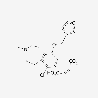 CN1CCc2c(Cl)ccc(OCc3ccoc3)c2CC1.O=C(O)/C=C\C(=O)O